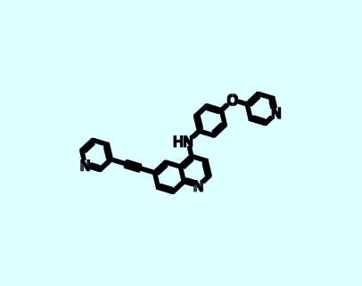 C(#Cc1ccc2nccc(Nc3ccc(Oc4ccncc4)cc3)c2c1)c1cccnc1